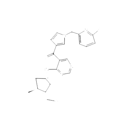 C[C@@H]1[C@@H](CO)C[C@@H](Nc2ncncc2C(=O)c2ccn(Cc3cccc(Cl)n3)c2)[C@H]1F